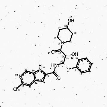 O=C(N[C@@H](Cc1ccccc1)[C@@H](O)C(=O)N1CCC(O)CC1)c1cc2cc(Cl)ncc2[nH]1